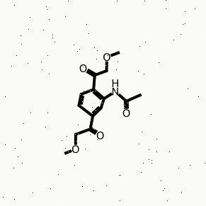 COCC(=O)c1ccc(C(=O)COC)c(NC(C)=O)c1